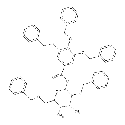 CC1C(COCc2ccccc2)OC(OC(=O)c2cc(OCc3ccccc3)c(OCc3ccccc3)c(OCc3ccccc3)c2)C(OCc2ccccc2)C1C